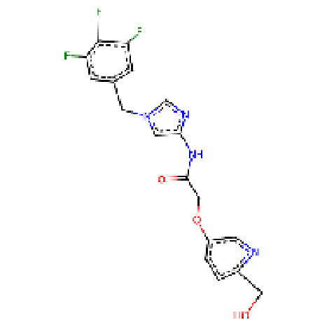 O=C(COc1ccc(CO)nc1)Nc1cn(Cc2cc(F)c(F)c(F)c2)cn1